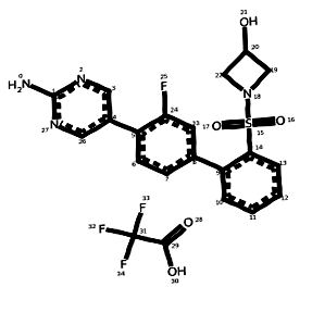 Nc1ncc(-c2ccc(-c3ccccc3S(=O)(=O)N3CC(O)C3)cc2F)cn1.O=C(O)C(F)(F)F